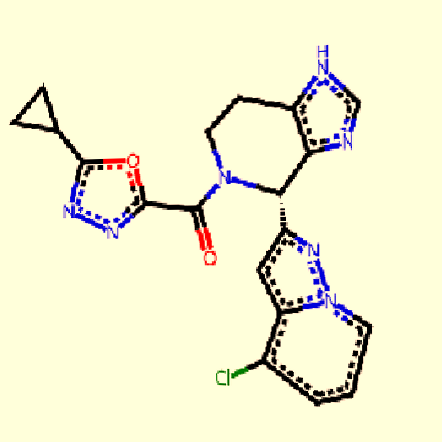 O=C(c1nnc(C2CC2)o1)N1CCc2[nH]cnc2[C@@H]1c1cc2c(Cl)cccn2n1